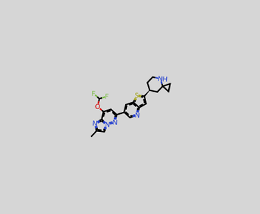 Cc1cn2nc(-c3cnc4cc([C@H]5CCNC6(CC6)C5)sc4c3)cc(OC(F)F)c2n1